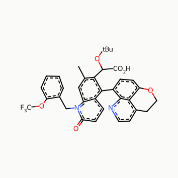 Cc1cc2c(ccc(=O)n2Cc2ccccc2OC(F)(F)F)c(-c2ccc3c4c(ccnc24)CCO3)c1C(OC(C)(C)C)C(=O)O